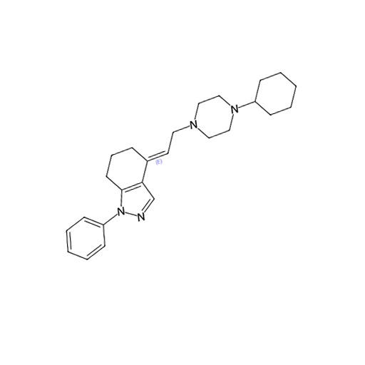 C(/CN1CCN(C2CCCCC2)CC1)=C1/CCCc2c1cnn2-c1ccccc1